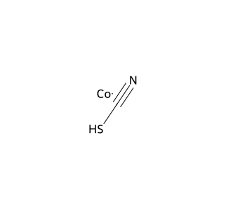 N#CS.[Co]